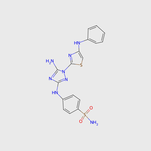 Nc1nc(Nc2ccc(S(N)(=O)=O)cc2)nn1-c1nc(Nc2ccccc2)cs1